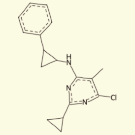 Cc1c(Cl)nc(C2CC2)nc1NC1CC1c1ccccc1